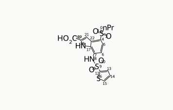 CCCS(=O)(=O)c1ccc(NS(=O)(=O)c2cccs2)c2[nH]c(C(=O)O)cc12